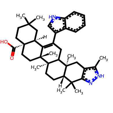 Cc1[nH]nc2c1C[C@]1(C)C3CC(c4c[nH]c5ccccc45)=C4[C@@H]5CC(C)(C)CC[C@]5(C(=O)O)CC[C@@]4(C)[C@]3(C)CC[C@H]1C2(C)C